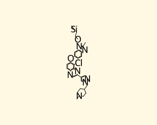 Cc1nc2ccc(Oc3ccc4ncc(-c5cnn(CC6CCN(C)CC6)c5)nc4c3Cl)cc2n1COCC[Si](C)(C)C